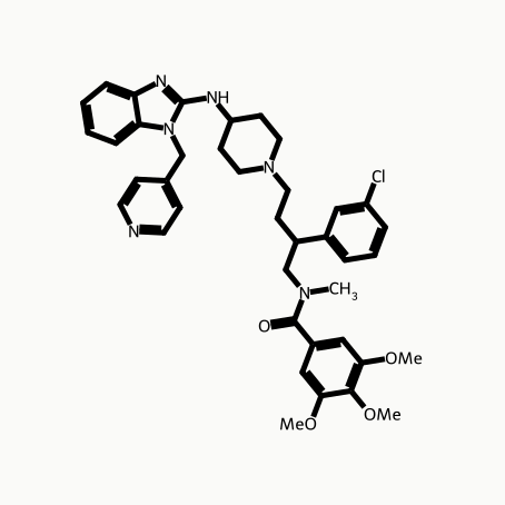 COc1cc(C(=O)N(C)CC(CCN2CCC(Nc3nc4ccccc4n3Cc3ccncc3)CC2)c2cccc(Cl)c2)cc(OC)c1OC